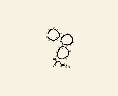 C1=CCCCCCCCC1.C1=CCCCCCCCC1.C1=CCCCCCCCC1.C=CCC(=O)O